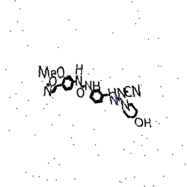 COc1cc(NC(=O)Nc2cccc(C/N=C(\NC#N)N3CCC(O)CC3)c2)ccc1-c1cnco1